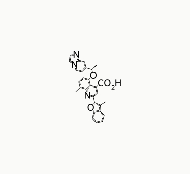 Cc1c(-c2cc(C(=O)O)c3c(O[C@H](C)c4ccn5ccnc5c4)ccc(C)c3n2)oc2ccccc12